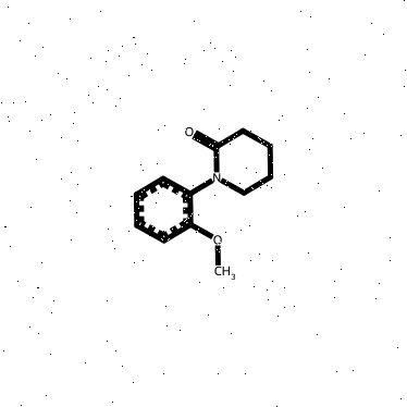 COc1ccccc1N1CCCCC1=O